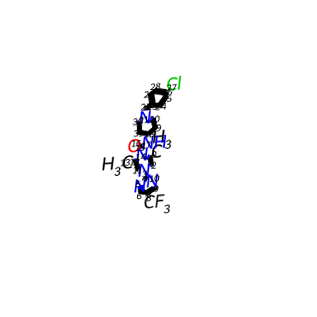 C[C@@H]1CN(c2ncc(C(F)(F)F)cn2)C[C@@H](C)N1C(=O)NC1CCN(Cc2ccc(Cl)cc2)CC1